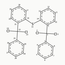 ClC(Cl)(c1ccccc1)c1ccccc1Sc1ccccc1C(Cl)(Cl)c1ccccc1